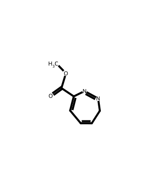 COC(=O)C1=CC=CCN=N1